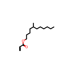 C=CC(=O)OCCCCC(C)CCCCCC